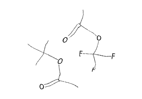 CC(=O)OC(C)(C)C.CC(=O)OC(F)(F)F